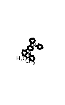 CC1(C)c2ccccc2-n2c3cc4c(cc3c3cccc1c32)c1ccccc1n4-c1ccccc1